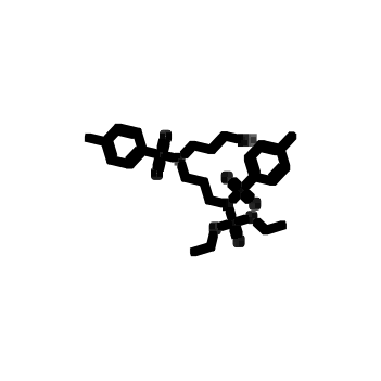 CCOP(=O)(OCC)N(CCCN(CCCN)S(=O)(=O)c1ccc(C)cc1)S(=O)(=O)c1ccc(C)cc1